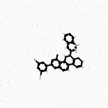 Cc1cc(-c2cc(F)cc(F)c2)cc2ccc3c(c12)CC(c1cc2ccccc2nn1)C1=C3C=CCC1